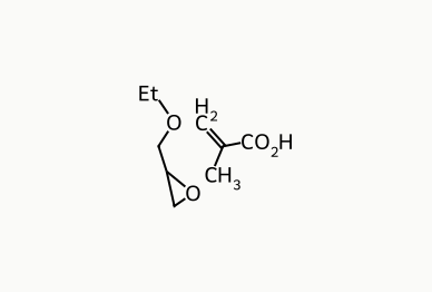 C=C(C)C(=O)O.CCOCC1CO1